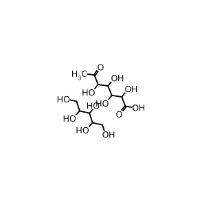 CC(=O)C(O)C(O)C(O)C(O)C(=O)O.OCC(O)C(O)C(O)CO